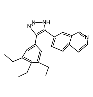 CCc1cc(-c2nn[nH]c2-c2ccc3ccncc3c2)cc(CC)c1CC